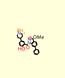 COC(=O)c1ccc(-c2ccccc2)cc1NC(=O)c1cc(C2CCN(P)CC2)ccc1O